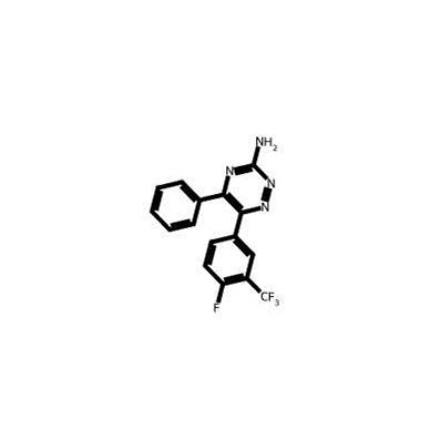 Nc1nnc(-c2ccc(F)c(C(F)(F)F)c2)c(-c2ccccc2)n1